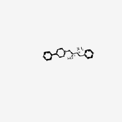 N[C@H](Cc1ccccc1)[C@@H](O)CN1CCC(c2ccccc2)CC1